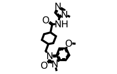 COc1ccc2c(c1)n(CC1CCC(C(=O)Nc3cncn3C)CC1)c(=O)n2C